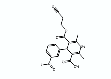 CC1=C(C(=O)O)C(c2cccc([N+](=O)[O-])c2)C(C(=O)OCCC#N)=C(C)N1